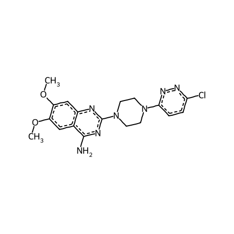 COc1cc2nc(N3CCN(c4ccc(Cl)nn4)CC3)nc(N)c2cc1OC